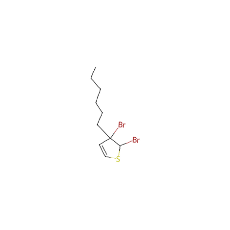 CCCCCCC1(Br)C=CSC1Br